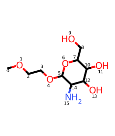 COCCOC1OC(CO)C(O)C(O)C1N